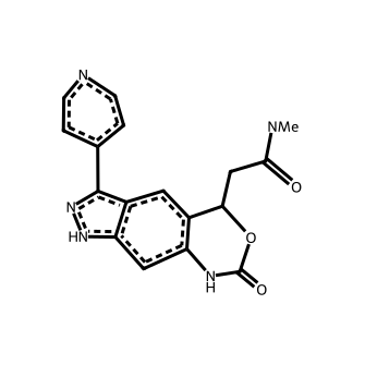 CNC(=O)CC1OC(=O)Nc2cc3[nH]nc(-c4ccncc4)c3cc21